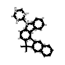 CC1(C)c2cc3ccccc3cc2-c2c1ccc1c2c2ccccc2n1-c1ncncn1